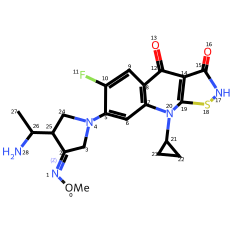 CO/N=C1\CN(c2cc3c(cc2F)c(=O)c2c(=O)[nH]sc2n3C2CC2)CC1C(C)N